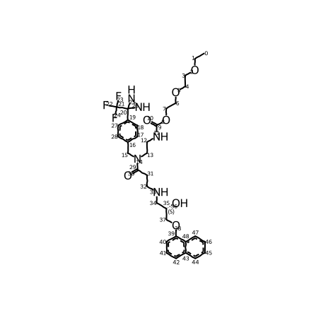 CCOCCOCCOC(=O)NCCN(Cc1ccc(C2(C(F)(F)F)NN2)cc1)C(=O)CCNC[C@H](O)COc1cccc2ccccc12